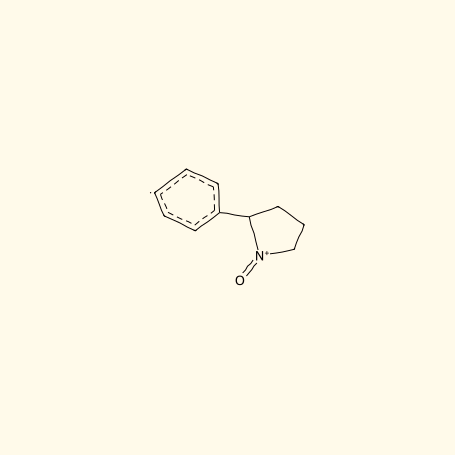 O=[N+]1CCCC1c1cc[c]cc1